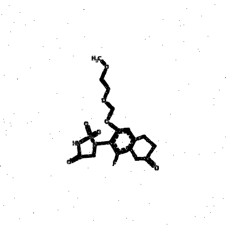 COCCOCOc1cc2c(c(F)c1N1CC(=O)NS1(=O)=O)CC(=O)CC2